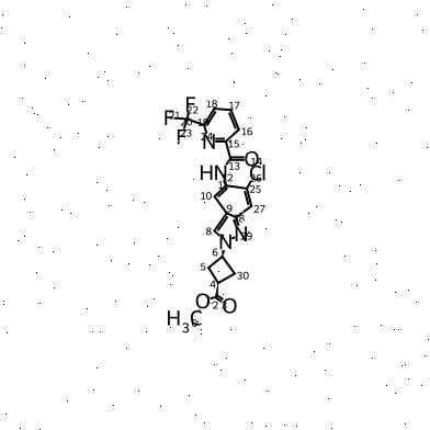 COC(=O)[C@H]1C[C@@H](n2cc3cc(NC(=O)c4cccc(C(F)(F)F)n4)c(Cl)cc3n2)C1